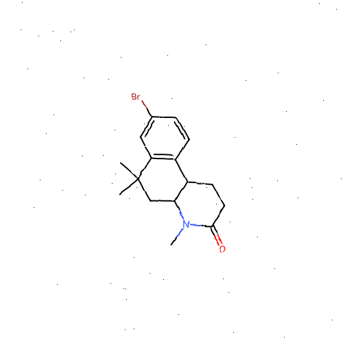 CN1C(=O)CCC2c3ccc(Br)cc3C(C)(C)CC21